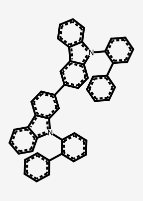 c1ccc(-c2ccccc2-n2c3ccccc3c3cc(-c4ccc5c6ccccc6n(-c6ccccc6-c6ccccc6)c5c4)ccc32)cc1